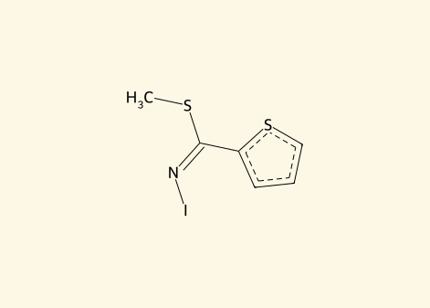 CS/C(=N/I)c1cccs1